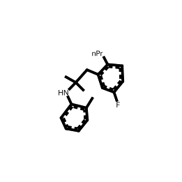 CCCc1ccc(F)cc1CC(C)(C)Nc1ccccc1C